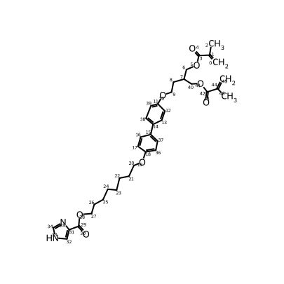 C=C(C)C(=O)OCC(CCOc1ccc(-c2ccc(OCCCCCCCCOC(=O)c3c[nH]cn3)cc2)cc1)COC(=O)C(=C)C